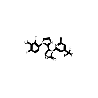 Cc1cc(C(F)(F)F)cc(N2C(=O)OCC2c2nccn2-c2ccc(F)c(Cl)c2F)n1